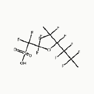 CC(F)(F)C(F)(F)C(F)(OC(F)(F)C(F)(F)S(=O)(=O)O)C(C)(F)F